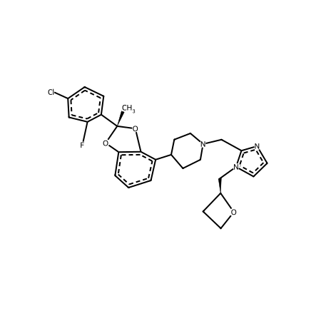 C[C@]1(c2ccc(Cl)cc2F)Oc2cccc(C3CCN(Cc4nccn4C[C@@H]4CCO4)CC3)c2O1